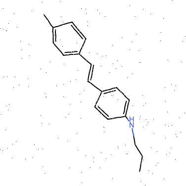 CCCNc1ccc(/C=C/c2ccc(C)cc2)cc1